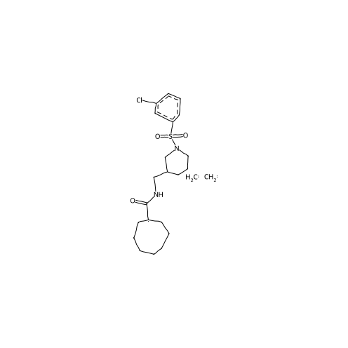 O=C(NCC1CCCN(S(=O)(=O)c2cccc(Cl)c2)C1)[C]1CCCCCCC1.[CH2].[CH2]